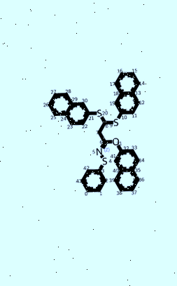 c1ccc(S/N=C(/CC(Sc2ccc3ccccc3c2)Sc2ccc3ccccc3c2)Oc2ccc3ccccc3c2)cc1